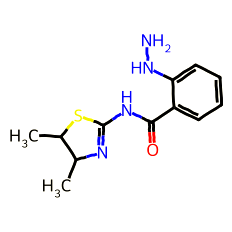 CC1N=C(NC(=O)c2ccccc2NN)SC1C